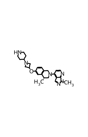 C[C@H]1CN(c2ccnc3c2cnn3C)Cc2ccc(OC3CN(C4CCNCC4)C3)cc21